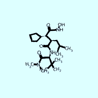 CC(C)C[C@@H](C(=O)N[C@H](C(=O)N(C)C)C(C)(C)C)[C@@H](C(=O)NO)C1CCCC1